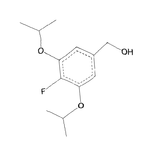 CC(C)Oc1cc(CO)cc(OC(C)C)c1F